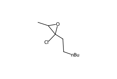 CCCCCCC1(Cl)OC1C